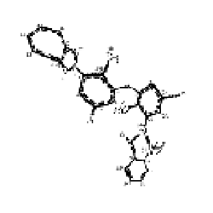 Oc1c(Cc2cc(I)cc(-n3nc4ccccc4n3)c2O)cc(I)cc1N1N=C2C=CC=CC2N1